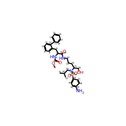 COC(=O)NC(Cc1ccccc1-c1ccccc1)C(=O)NCCCC(CO)N(CC(C)C)S(=O)(=O)c1ccc(N)cc1